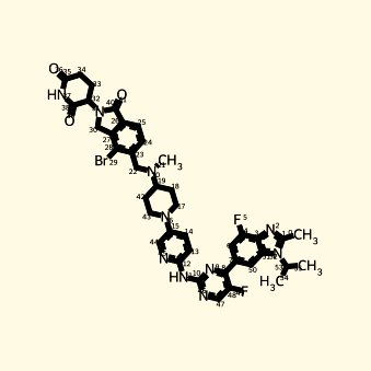 Cc1nc2c(F)cc(-c3nc(Nc4ccc(N5CCC(N(C)Cc6ccc7c(c6Br)CN(C6CCC(=O)NC6=O)C7=O)CC5)cn4)ncc3F)cc2n1C(C)C